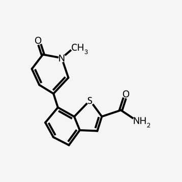 Cn1cc(-c2cccc3cc(C(N)=O)sc23)ccc1=O